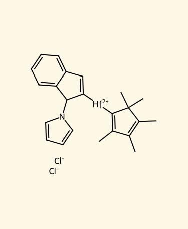 CC1=C(C)C(C)(C)[C]([Hf+2][C]2=Cc3ccccc3C2n2cccc2)=C1C.[Cl-].[Cl-]